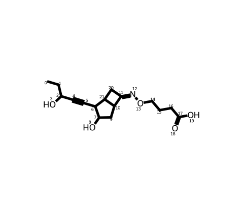 CCC(O)C#CC1C(O)CC2C(=NOCCCC(=O)O)CC21